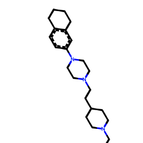 CC(=O)CN1CCC(CCN2CCN(c3ccc4c(c3)CCCC4)CC2)CC1